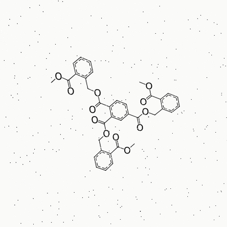 COC(=O)c1ccccc1COC(=O)c1ccc(C(=O)OCc2ccccc2C(=O)OC)c(C(=O)OCc2ccccc2C(=O)OC)c1